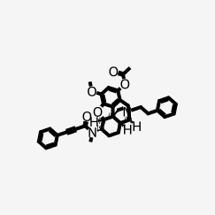 COc1cc(OC(C)=O)c2c3c1O[C@H]1[C@@H](N(C)C(=O)C#Cc4ccccc4)CC[C@H]4[C@@H](C2)N(CCc2ccccc2)CC[C@@]341